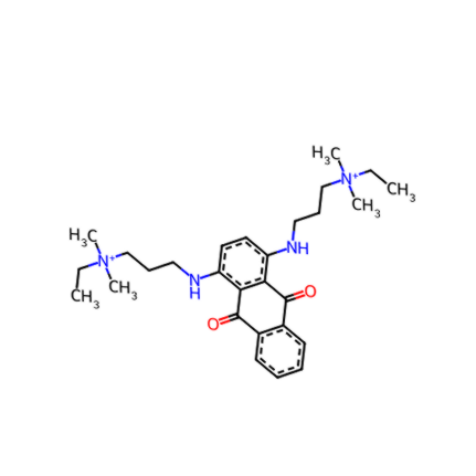 CC[N+](C)(C)CCCNc1ccc(NCCC[N+](C)(C)CC)c2c1C(=O)c1ccccc1C2=O